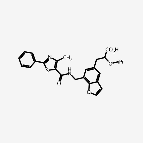 Cc1nc(-c2ccccc2)sc1C(=O)NCc1cc(CC(OC(C)C)C(=O)O)cc2ccoc12